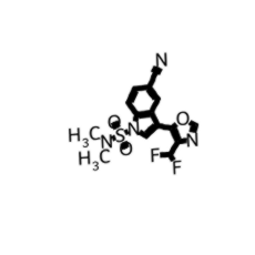 CN(C)S(=O)(=O)n1cc(-c2ocnc2C(F)F)c2cc(C#N)ccc21